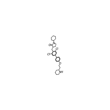 O=C1C(Cc2c(Cl)cc(-c3ccc(OCCC4CCCCN4)cc3)cc2Cl)CCN1C1CCCCC1